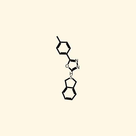 Cc1ccc(-c2nnc([SH]3Cc4ccccc4C3)o2)cc1